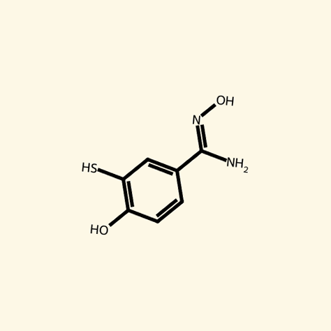 NC(=NO)c1ccc(O)c(S)c1